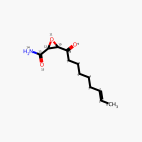 CC=CCCCCCC(=O)C1OC1C(N)=O